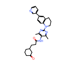 Cc1nc(N2CCCc3cc(-c4cccnc4)ccc32)nc(C)c1NC(=O)CCC1CCCC(=O)C1